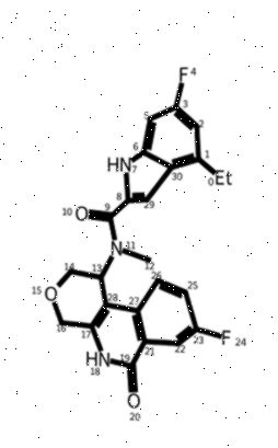 CCc1cc(F)cc2[nH]c(C(=O)N(C)C3COCc4[nH]c(=O)c5cc(F)ccc5c43)cc12